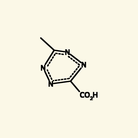 Cc1nnc(C(=O)O)nn1